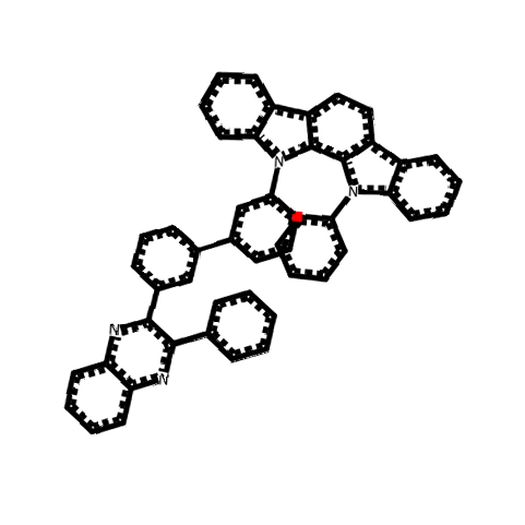 c1ccc(-c2nc3ccccc3nc2-c2cccc(-c3cccc(-n4c5ccccc5c5ccc6c7ccccc7n(-c7ccccc7)c6c54)c3)c2)cc1